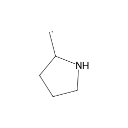 [CH2]C1CCCN1